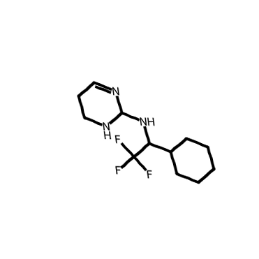 FC(F)(F)C(NC1N=CCCN1)C1CCCCC1